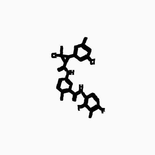 C=C(Nc1ccc(F)c(C)c1F)c1cc(NC(=C)C2C(c3cc(C)cc(Cl)c3)C2(C)Cl)ccc1C